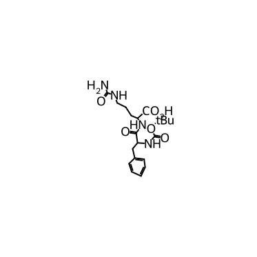 CC(C)(C)OC(=O)NC(Cc1ccccc1)C(=O)NC(CCCNC(N)=O)C(=O)O